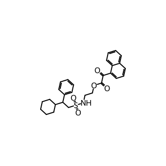 O=C(OCCNS(=O)(=O)CC(c1ccccc1)C1CCCCC1)C(=O)c1cccc2ccccc12